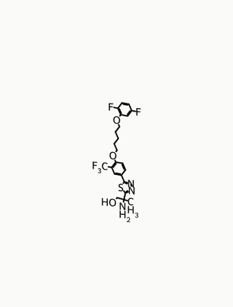 CC(N)(CO)c1nnc(-c2ccc(OCCCCCOc3cc(F)ccc3F)c(C(F)(F)F)c2)s1